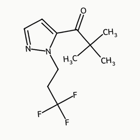 CC(C)(C)C(=O)c1ccnn1CCC(F)(F)F